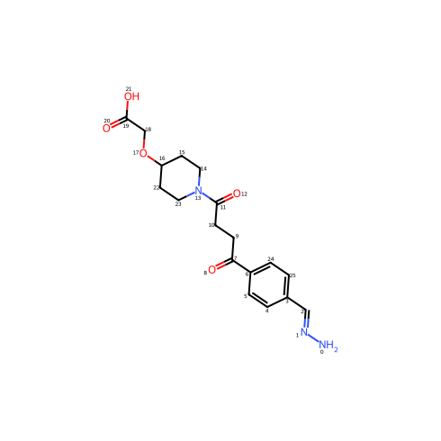 NN=Cc1ccc(C(=O)CCC(=O)N2CCC(OCC(=O)O)CC2)cc1